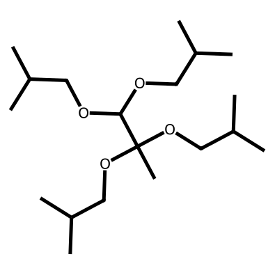 CC(C)COC(OCC(C)C)C(C)(OCC(C)C)OCC(C)C